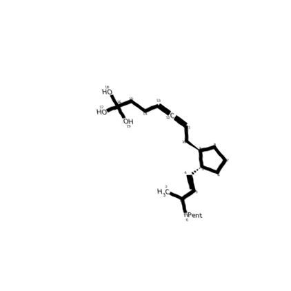 CCCCCC(C)C=C[C@H]1CCC[C@@H]1CC=C=CCCC(O)(O)O